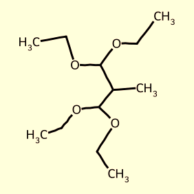 CCOC(OCC)C(C)C(OCC)OCC